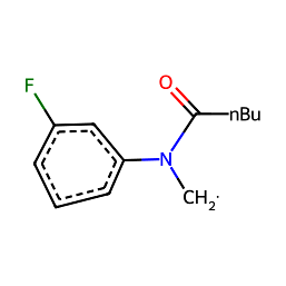 [CH2]N(C(=O)CCCC)c1cccc(F)c1